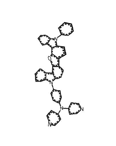 c1ccc(-n2c3ccccc3c3c4oc5c(ccc6c5c5ccccc5n6-c5ccc(N(c6ccncc6)c6ccncc6)cc5)c4ccc32)cc1